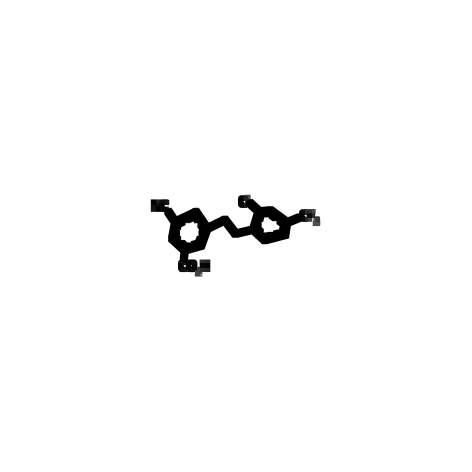 N#Cc1cc(CCc2ccc(C(F)(F)F)cc2Cl)cc(C(=O)O)c1